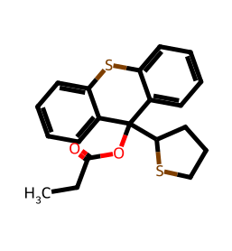 CCC(=O)OC1(C2CCCS2)c2ccccc2Sc2ccccc21